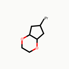 CC(C)C1CC2OCCOC2C1